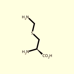 NCSC[C@H](N)C(=O)O